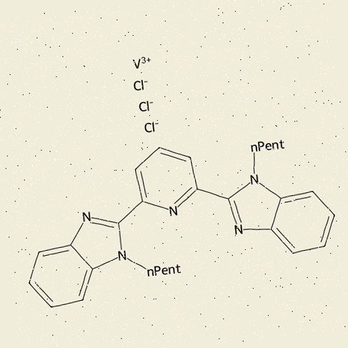 CCCCCn1c(-c2cccc(-c3nc4ccccc4n3CCCCC)n2)nc2ccccc21.[Cl-].[Cl-].[Cl-].[V+3]